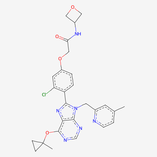 Cc1ccnc(Cn2c(-c3ccc(OCC(=O)NC4COC4)cc3Cl)nc3c(OC4(C)CC4)ncnc32)c1